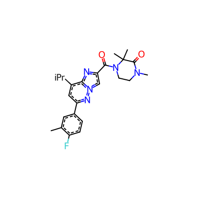 Cc1cc(-c2cc(C(C)C)c3nc(C(=O)N4CCN(C)C(=O)C4(C)C)cn3n2)ccc1F